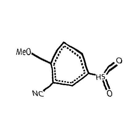 COc1ccc([SH](=O)=O)cc1C#N